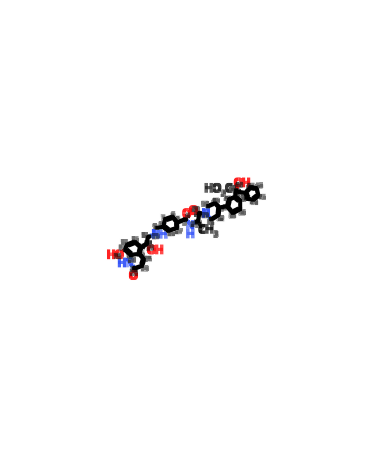 C[C@@H](NC(=O)c1ccc(CNC[C@H](O)c2ccc(O)c3[nH]c(=O)ccc23)cc1)C(=O)N1CC=C(c2cccc([C@](O)(C(=O)O)c3ccccc3)c2)CC1